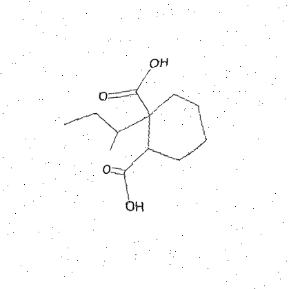 CCC(C)C1(C(=O)O)CCCCC1C(=O)O